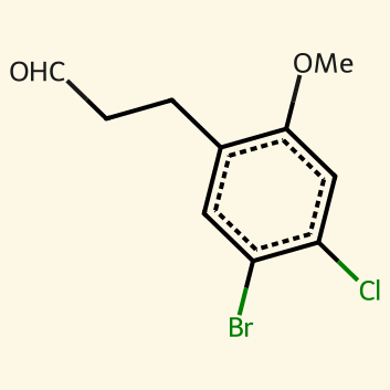 COc1cc(Cl)c(Br)cc1CCC=O